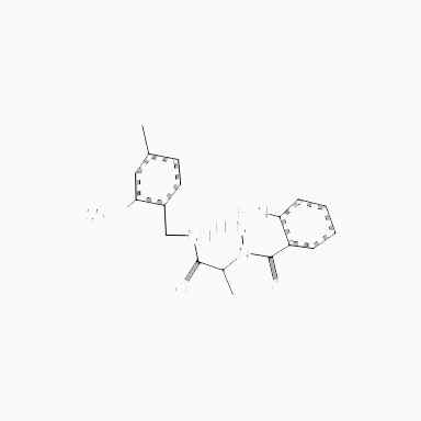 COc1cc(C)ccc1CNC(=O)C(C)N(N)C(=O)c1ccccc1N